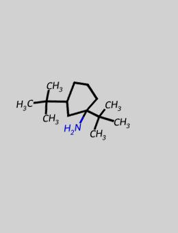 CC(C)(C)C1CCCC(N)(C(C)(C)C)C1